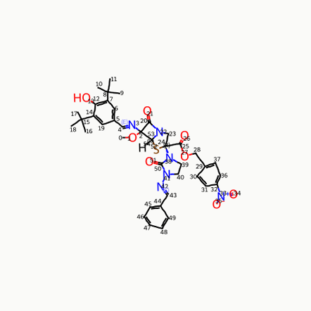 COC1(/N=C/c2cc(C(C)(C)C)c(O)c(C(C)(C)C)c2)C(=O)N2C[C@@](C(=O)OCc3ccc([N+](=O)[O-])cc3)(N3CCN(/N=C/c4ccccc4)C3=O)S[C@@H]21